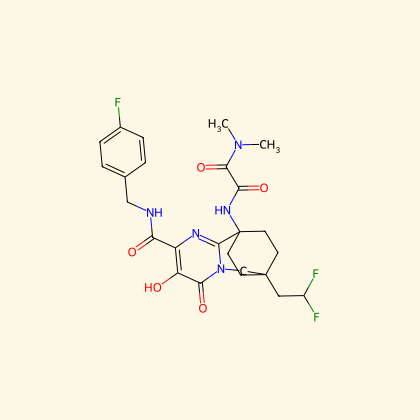 CN(C)C(=O)C(=O)NC12CCC(CC(F)F)(CC1)Cn1c2nc(C(=O)NCc2ccc(F)cc2)c(O)c1=O